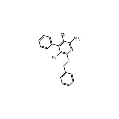 N#Cc1c(N)nc(SCc2ccccc2)c(C#N)c1-c1ccccc1